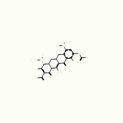 CN(C)c1cc(NC(N)=O)c(O)c2c1CC1CC3[C@H](N(C)C)C(O)=C(C(N)=O)C(=O)[C@@]3(O)C(O)=C1C2=O